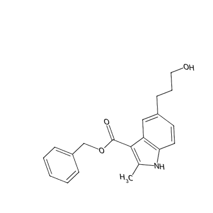 Cc1[nH]c2ccc(CCCO)cc2c1C(=O)OCc1ccccc1